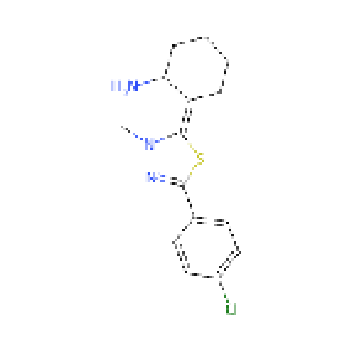 CN1N=C(c2ccc(Cl)cc2)SC1=C1CCCCC1N